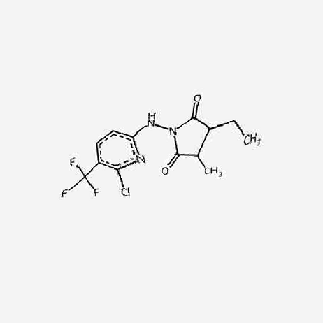 CCC1C(=O)N(Nc2ccc(C(F)(F)F)c(Cl)n2)C(=O)C1C